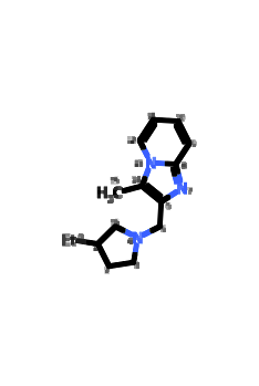 CCC1CCN(Cc2nc3ccccn3c2C)C1